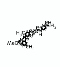 COc1cnc2c(-c3nc4c(C)cc5c(c4s3)OCC(COC(=O)Nc3ccc(N(C)C)nc3)O5)cc(C)cc2n1